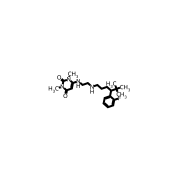 Cn1c(NCCNCCCC(c2ccccc2F)C(C)(C)C)cc(=O)n(C)c1=O